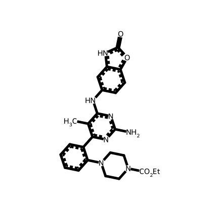 CCOC(=O)N1CCN(c2ccccc2-c2nc(N)nc(Nc3ccc4oc(=O)[nH]c4c3)c2C)CC1